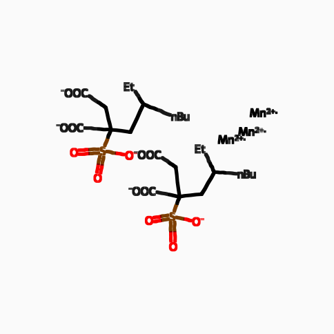 CCCCC(CC)CC(CC(=O)[O-])(C(=O)[O-])S(=O)(=O)[O-].CCCCC(CC)CC(CC(=O)[O-])(C(=O)[O-])S(=O)(=O)[O-].[Mn+2].[Mn+2].[Mn+2]